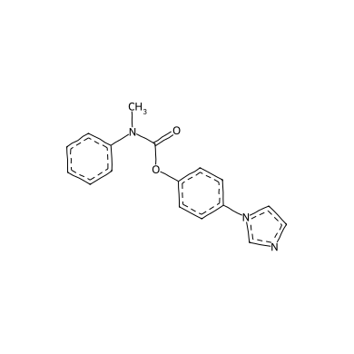 CN(C(=O)Oc1ccc(-n2ccnc2)cc1)c1ccccc1